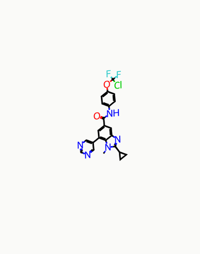 Cn1c(C2CC2)nc2cc(C(=O)Nc3ccc(OC(F)(F)Cl)cc3)cc(-c3cncnc3)c21